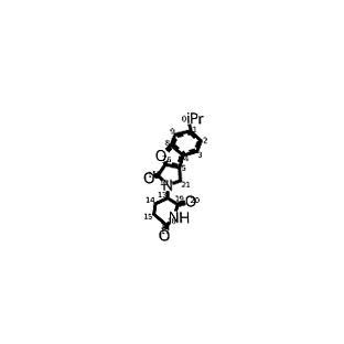 CC(C)c1ccc2c3c(oc2c1)C(=O)N(C1CCC(=O)NC1=O)C3